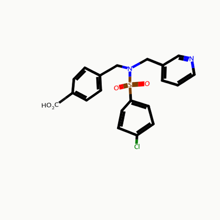 O=C(O)c1ccc(CN(Cc2cccnc2)S(=O)(=O)c2ccc(Cl)cc2)cc1